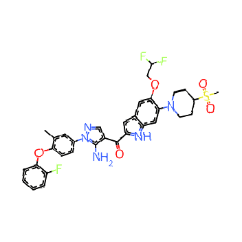 Cc1cc(-n2ncc(C(=O)c3cc4cc(OCC(F)F)c(N5CCC(S(C)(=O)=O)CC5)cc4[nH]3)c2N)ccc1Oc1ccccc1F